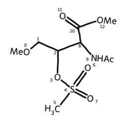 COCC(OS(C)(=O)=O)C(NC(C)=O)C(=O)OC